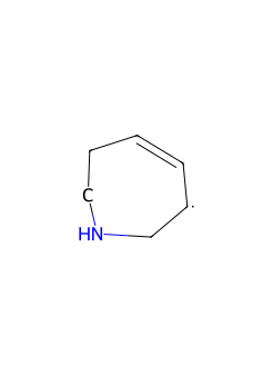 [CH]1C=CCCNC1